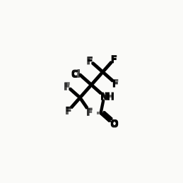 O=[C]NC(Cl)(C(F)(F)F)C(F)(F)F